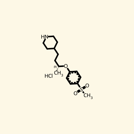 C[C@H](CCC1CCNCC1)Oc1ccc(S(C)(=O)=O)cc1.Cl